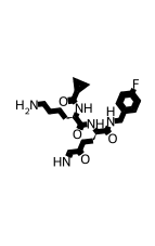 N=CC(=O)CC[C@H](NC(=O)[C@H](CCCCN)NC(=O)C1CC1)C(=O)NCc1ccc(F)cc1